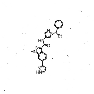 CCC(c1ccccc1)n1cc(NC(=O)c2n[nH]c3cc(-c4cc[nH]n4)ccc23)cn1